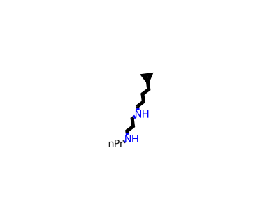 CCCNCCCNCCCCC1CC1